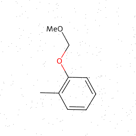 COCOc1[c]cccc1C